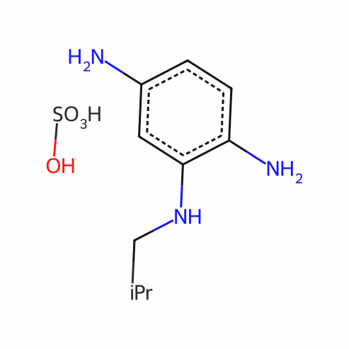 CC(C)CNc1cc(N)ccc1N.O=S(=O)(O)O